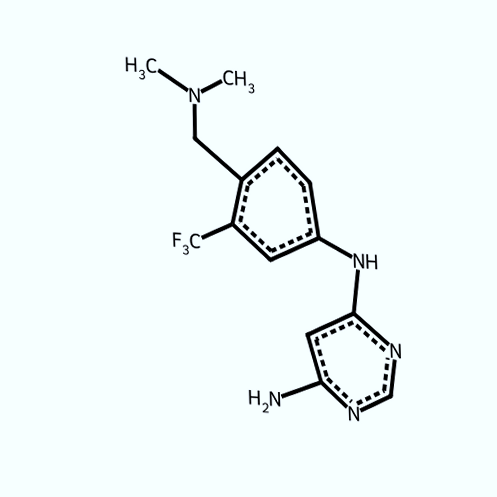 CN(C)Cc1ccc(Nc2cc(N)ncn2)cc1C(F)(F)F